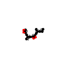 c1ccc(-c2nc(-c3ccc(-c4ccc5c(c4)Oc4cc(-c6ccc(-c7nc(-c8ccc(-c9ccc%10c(c9)Oc9ccccc9C%109c%10ccccc%10-c%10ccccc%109)cc8)cc(-c8ccccn8)n7)cc6)ccc4C54c5ccccc5-c5ccccc54)cc3)cc(-c3ccc(-c4cccc5c4oc4ccccc45)cc3)n2)cc1